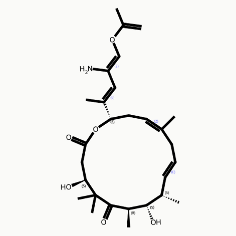 C=C(C)O/C=C(N)/C=C(\C)[C@@H]1C/C=C(/C)C/C=C/[C@H](C)[C@H](O)[C@@H](C)C(=O)C(C)(C)[C@@H](O)CC(=O)O1